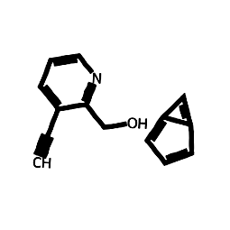 C#Cc1cccnc1CO.c1cc2cc-2c1